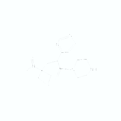 O=C(C(CC1([N+](=O)[O-])COC1)c1ccncn1)N1CCNCC1